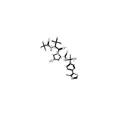 Cc1ncsc1-c1ccc(C(C)(O)NC(=O)[C@@H]2C[C@@H](O)CN2C(=O)[C@@H](NC(=O)C(C)(C)C)C(C)(C)C)cc1